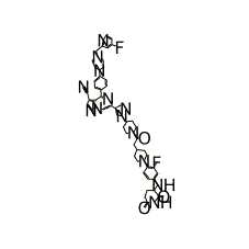 N#Cc1cnn2cc(-c3cnn(C4CCN(C(=O)CC5CCN(c6ccc(NC7CCC(=O)NC7=O)cc6F)CC5)CC4)c3)nc(-c3ccc(N4CCN(Cc5cc(F)ccn5)CC4)cc3)c12